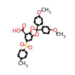 COc1ccc(C2(c3ccc(OC)cc3)Oc3cc(S(=O)(=O)c4ccc(C)cc4)cc(C(=O)O)c3O2)cc1